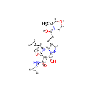 C[C@H]1COCCN1C(=O)/C=C/c1cnn2c(O)c(C(=O)NC3CC3)c(=O)n(CC3(C)CC3)c12